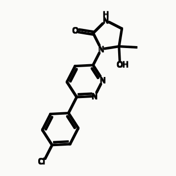 CC1(O)CNC(=O)N1c1ccc(-c2ccc(Cl)cc2)nn1